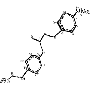 COc1ccc(CCC(C)Cc2ccc(CCC(C)C)cc2)cc1